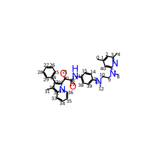 Cc1cc(C)nc(N(C)CCN(C)c2ccc(NC(=O)C(=O)c3c(-c4ccccc4)c(C)c4ccccn34)cc2)c1